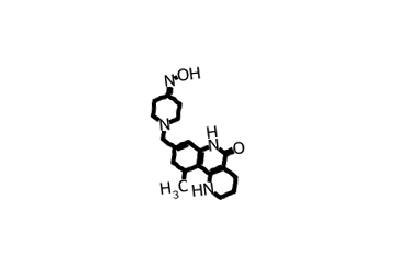 CC1CC(CN2CCC(=NO)CC2)=Cc2[nH]c(=O)c3c(c21)NCCC3